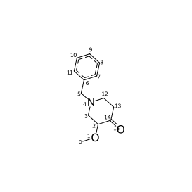 COC1CN(Cc2ccccc2)CCC1=O